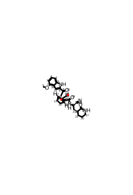 COc1cccc2[nH]c(C(=O)N3[C@H]4CC[C@@H]([C@@H]3C(=O)N[C@@H](C#N)C[C@@H]3CCCNC3=O)C(F)(F)C4)cc12